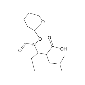 CCC(C(CC(C)C)C(=O)O)N(C=O)OC1CCCCO1